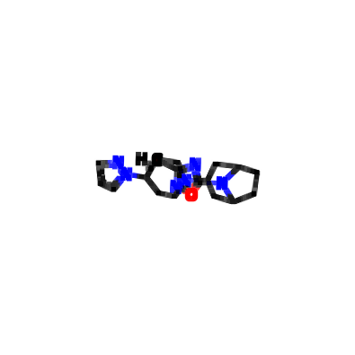 Cc1noc(N2C3CCC2CC(N2CCC(n4cccn4)CC2)C3)n1